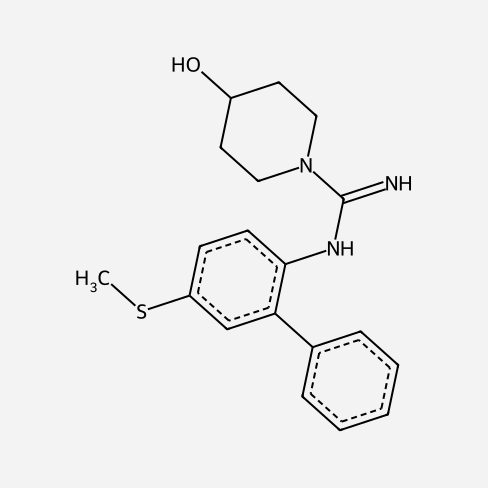 CSc1ccc(NC(=N)N2CCC(O)CC2)c(-c2ccccc2)c1